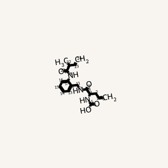 C=CCC(NC(=O)O)C(=O)NCc1ccccc1NC(=O)C(C)C=C